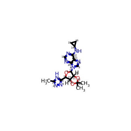 Cc1nnc(C2OC(n3cnc4c(NC5CC5)ncnc43)[C@@H]3OC(C)(C)O[C@H]23)[nH]1